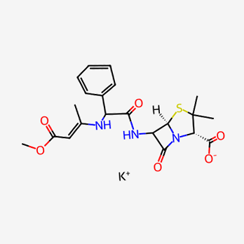 COC(=O)/C=C(\C)NC(C(=O)NC1C(=O)N2[C@@H]1SC(C)(C)[C@@H]2C(=O)[O-])c1ccccc1.[K+]